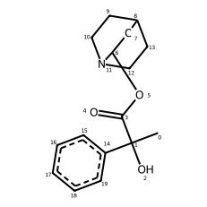 CC(O)(C(=O)OC1CC2CCN1CC2)c1ccccc1